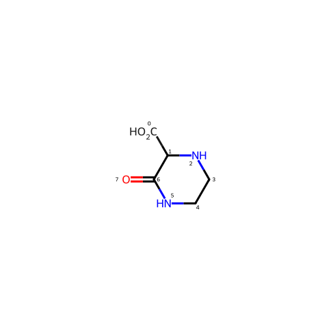 O=C(O)C1NCCNC1=O